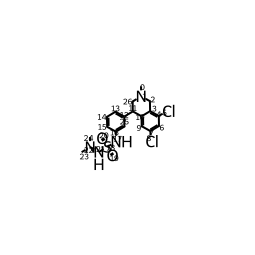 CN1Cc2c(Cl)cc(Cl)cc2C(c2cccc(NS(=O)(=O)NN(C)C)c2)C1